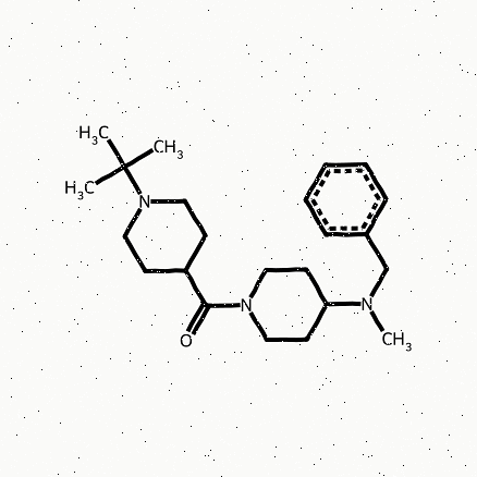 CN(Cc1ccccc1)C1CCN(C(=O)C2CCN(C(C)(C)C)CC2)CC1